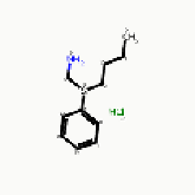 CCCC[Si](CN)c1ccccc1.Cl